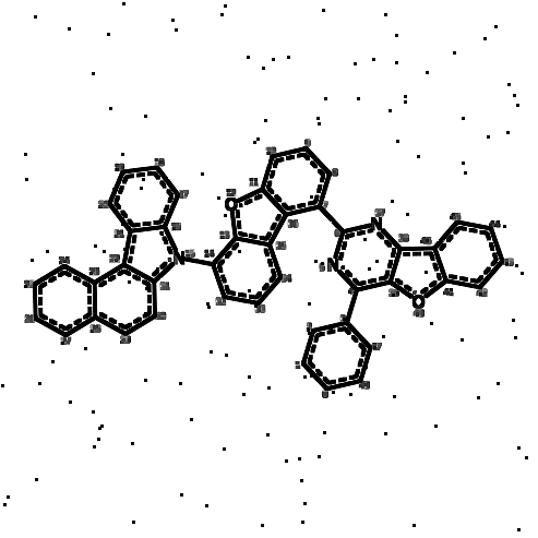 c1ccc(-c2nc(-c3cccc4oc5c(-n6c7ccccc7c7c8ccccc8ccc76)cccc5c34)nc3c2oc2ccccc23)cc1